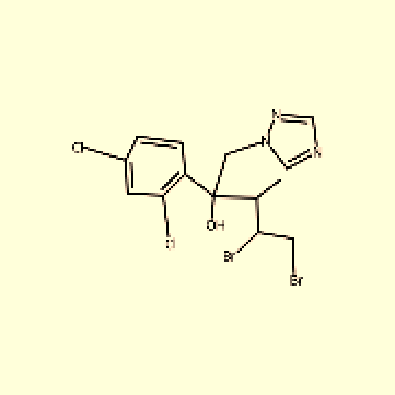 CC(C(Br)CBr)C(O)(Cn1cncn1)c1ccc(Cl)cc1Cl